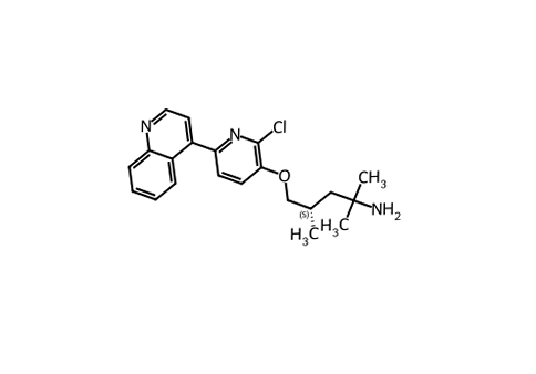 C[C@H](COc1ccc(-c2ccnc3ccccc23)nc1Cl)CC(C)(C)N